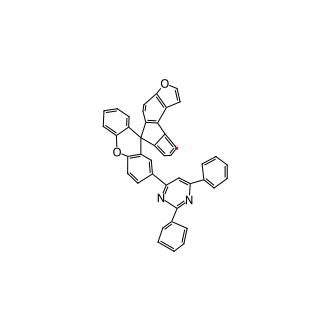 c1ccc(-c2cc(-c3ccc4c(c3)C3(c5ccccc5O4)c4ccccc4-c4c3ccc3occc43)nc(-c3ccccc3)n2)cc1